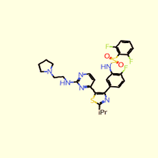 CC(C)c1nc(-c2ccc(F)c(NS(=O)(=O)c3c(F)cccc3F)c2)c(-c2ccnc(NCCN3CCCC3)n2)s1